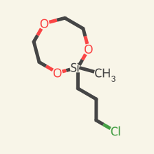 C[Si]1(CCCCl)OCCOCCO1